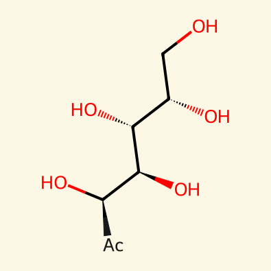 CC(=O)[C@@H](O)[C@H](O)[C@H](O)[C@@H](O)CO